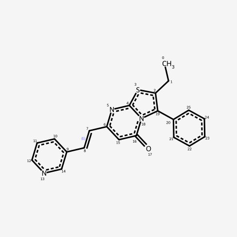 CCc1sc2nc(/C=C/c3cccnc3)cc(=O)n2c1-c1ccccc1